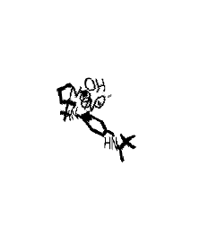 CC(NCc1ccc(NCC2(C(C)(C)C)CCCN2C(=O)O)c([N+](=O)[O-])c1)C(C)(C)C